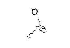 CN(C(=O)OCCCS(C)(=O)=O)C1C2CCC1CN(CC(O)COc1ccc(C#N)cc1)C2